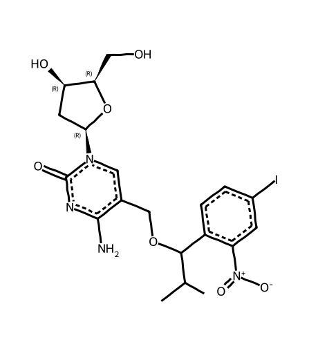 CC(C)C(OCc1cn([C@H]2C[C@@H](O)[C@@H](CO)O2)c(=O)nc1N)c1ccc(I)cc1[N+](=O)[O-]